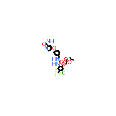 CNC(=O)c1cc(Oc2ccc(CNC(=O)Nc3cc(C(F)(F)F)c(Cl)cc3OCC(=O)OC(C)C)cc2)ccn1